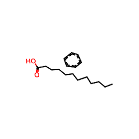 CCCCCCCCCCCC(=O)O.c1ccccc1